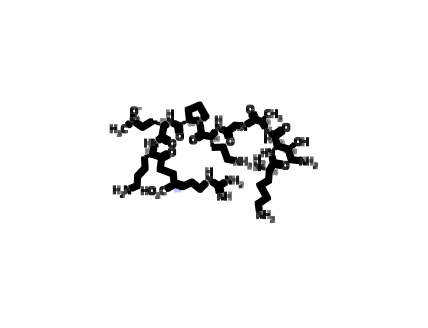 C[C@H](NC(=O)[C@@H](NC(=O)[C@@H](N)CCCCN)[C@@H](O)CN)C(=O)NCC(=O)N[C@H](CCCN)C(=O)N1CCC[C@H]1C(=O)N[C@@H](CC[S+](C)[O-])C(=O)N[C@@H](CCCCN)C(=O)CC/C(=C\CCNC(=N)N)C(=O)O